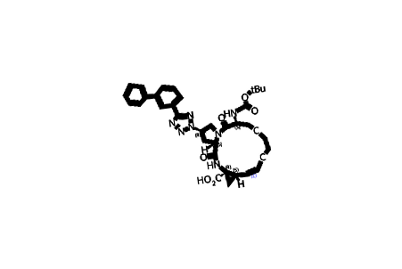 CC(C)(C)OC(=O)N[C@H]1CCCCC/C=C\[C@@H]2C[C@@]2(C(=O)O)NC(=O)[C@@H]2C[C@@H](n3nnc(-c4cccc(-c5ccccc5)c4)n3)CN2C1=O